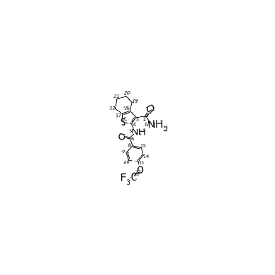 NC(=O)c1c(NC(=O)c2ccc(OC(F)(F)F)cc2)sc2c1CCCC2